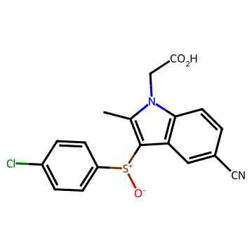 Cc1c([S+]([O-])c2ccc(Cl)cc2)c2cc(C#N)ccc2n1CC(=O)O